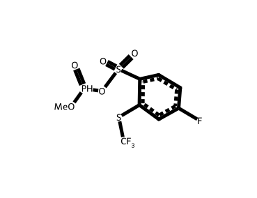 CO[PH](=O)OS(=O)(=O)c1ccc(F)cc1SC(F)(F)F